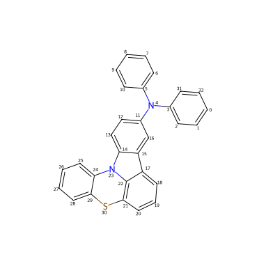 c1ccc(N(c2ccccc2)c2ccc3c(c2)c2cccc4c2n3-c2ccccc2S4)cc1